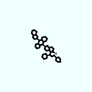 c1ccc(-c2cc(-c3ccccc3)c3c(ccc4cc(-c5c6ccccc6c(-c6ccc7ccccc7c6)c6ccccc56)ccc43)n2)cc1